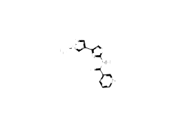 Cn1cc(-c2csc(NC(=O)c3cccnc3)n2)cn1